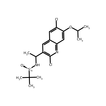 CC(C)Oc1cc2nc(Cl)c(C(C)N[S@+]([O-])C(C)(C)C)cc2cc1Cl